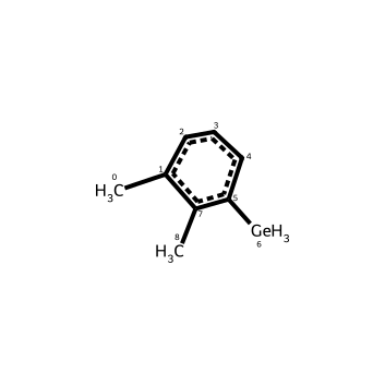 Cc1ccc[c]([GeH3])c1C